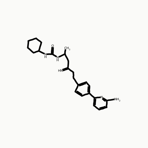 CC(CC(=N)CCc1ccc(-c2cccc(N)n2)cc1)NC(=O)NC1CCCCC1